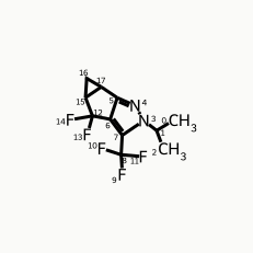 CC(C)n1nc2c(c1C(F)(F)F)C(F)(F)C1CC21